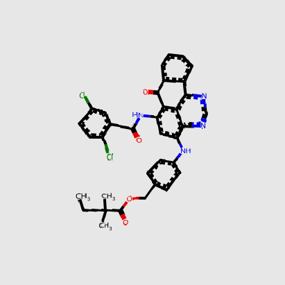 CCC(C)(C)C(=O)OCc1ccc(Nc2cc(NC(=O)c3cc(Cl)ccc3Cl)c3c4c(ncnc24)-c2ccccc2C3=O)cc1